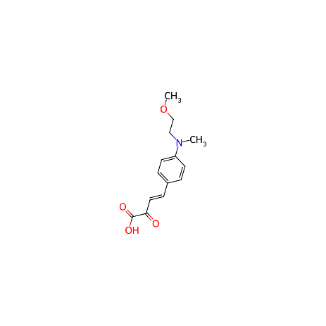 COCCN(C)c1ccc(C=CC(=O)C(=O)O)cc1